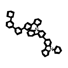 c1ccc(-c2cccc(-c3cccc(-c4ccc(-c5ccccc5-n5c6ccccc6c6cc(-c7ccc8c(c7)c7ccccc7n8-c7ccccc7)ccc65)cc4)c3)c2)cc1